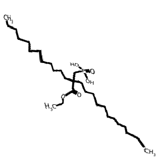 CCCCCCCCCCCCC(CCCCCCCCCCCC)(CP(=O)(O)O)C(=O)OCC